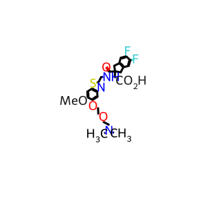 COc1cc2sc(CNC(=O)C3(CC(=O)O)Cc4cc(F)c(F)cc4C3)nc2cc1OCCOCCN(C)C